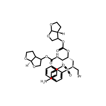 CC(C)CN(C[C@@H](OC(=O)OC1COC2OCC[C@H]12)[C@H](Cc1ccccc1)NC(=O)OC1CO[C@H]2OCCC12)S(=O)(=O)c1ccc(N)cc1